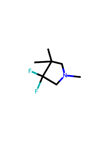 CN1CC(C)(C)C(F)(F)C1